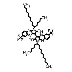 CCCCCCCCCCC(CCCCC)n1c2nc3ccc(C(F)(F)F)cc3[nH]c-2c(-c2c3[nH]c4cc(C(F)(F)F)ccc4nc-3n(C(CCCCC)CCCCCCCCCC)c2=O)c1=O